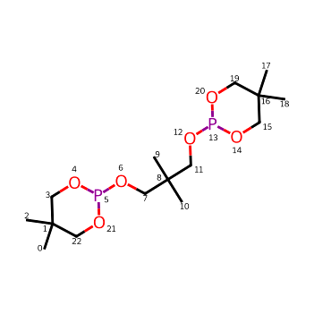 CC1(C)COP(OCC(C)(C)COP2OCC(C)(C)CO2)OC1